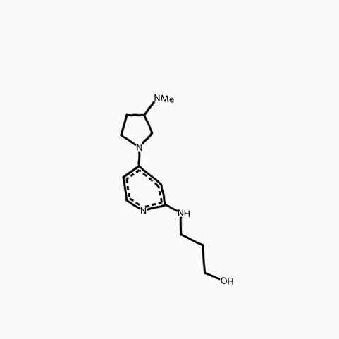 CNC1CCN(c2ccnc(NCCCO)c2)C1